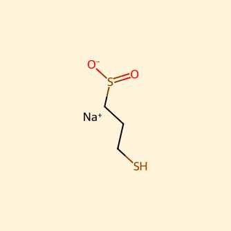 O=S([O-])CCCS.[Na+]